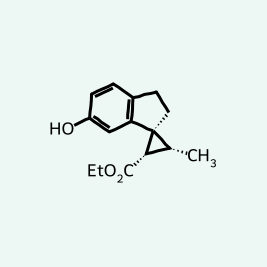 CCOC(=O)[C@H]1[C@@H](C)[C@@]12CCc1ccc(O)cc12